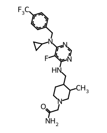 CC1CN(CC(N)=O)CCC1CNc1ncnc(N(Cc2ccc(C(F)(F)F)cc2)C2CC2)c1F